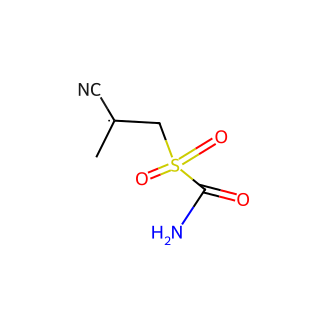 C[C](C#N)CS(=O)(=O)C(N)=O